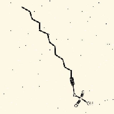 CCCCCCCCCCCCC#COS(=O)(=O)O